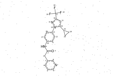 O=C(Cc1cccnc1)Nc1ccc(-n2nc(C(F)(F)F)cc2C2CC2)cc1